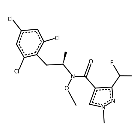 CON(C(=O)c1cn(C)nc1C(C)F)[C@H](C)Cc1c(Cl)cc(Cl)cc1Cl